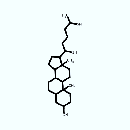 CC(S)CCCC(S)C1CCC2C3CCC4CC(O)CCC4(C)C3CCC12C